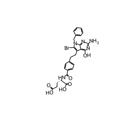 Nc1nc(O)c2c(CCc3ccc(C(=O)N[C@@H](CCC(=O)O)C(=O)O)cc3)c(Br)n(Cc3ccccc3)c2n1